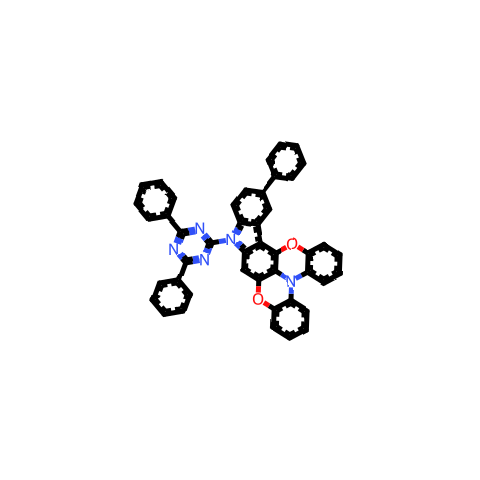 c1ccc(-c2ccc3c(c2)c2c4c5c(cc2n3-c2nc(-c3ccccc3)nc(-c3ccccc3)n2)Oc2ccccc2N5c2ccccc2O4)cc1